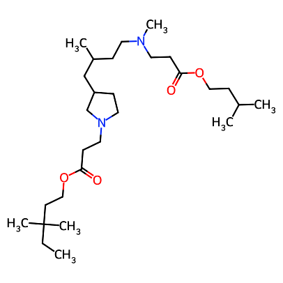 CCC(C)(C)CCOC(=O)CCN1CCC(CC(C)CCN(C)CCC(=O)OCCC(C)C)C1